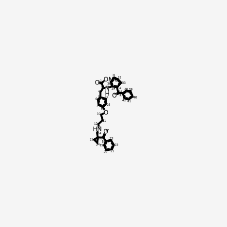 COC(=O)C(Cc1ccc(OCCCNCC2(C(=O)c3ccccc3)CC2)cc1)Nc1ccccc1C(=O)c1ccccc1